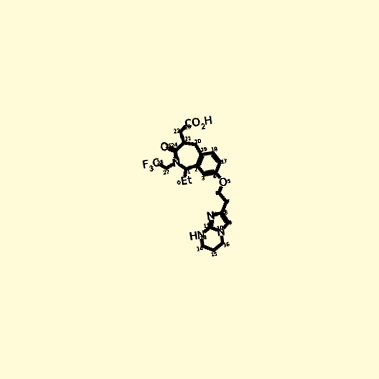 CCC1c2cc(OCCc3cn4c(n3)NCCC4)ccc2CC(CC(=O)O)C(=O)N1CC(F)(F)F